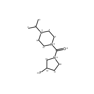 CC(C)N1CCN(C(=O)N2CCC(F)C2)CC1